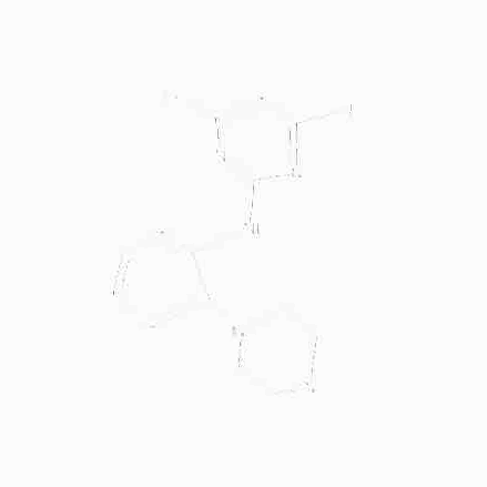 Cc1cc(C)nc(Nc2ccccc2N2CCNCC2)n1